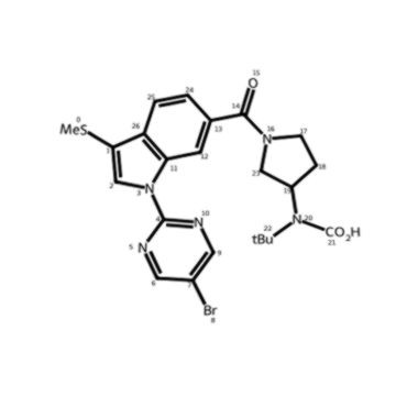 CSc1cn(-c2ncc(Br)cn2)c2cc(C(=O)N3CCC(N(C(=O)O)C(C)(C)C)C3)ccc12